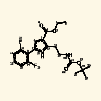 CCOC(=O)c1cc(-c2c(F)cccc2F)[nH]c1CCNC(=O)OC(C)(C)C